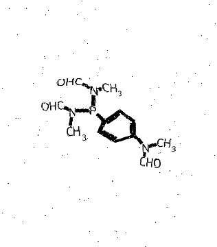 CN(C=O)c1ccc(P(N(C)C=O)N(C)C=O)cc1